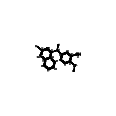 COc1ccc(C(C)c2nc(C)nc3ccccc23)cc1O